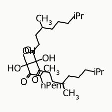 CCCCCC(C)C(=O)C(O)(CO)C(O)(C(=O)CCC(C)CCCC(C)C)C(=O)CCC(C)CCCC(C)C